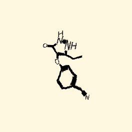 CCc1[nH][nH]c(=O)c1Oc1ccc(C#N)cc1